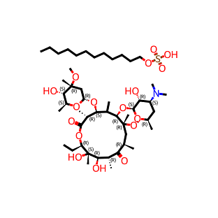 CCCCCCCCCCCCOS(=O)(=O)O.CC[C@H]1OC(=O)[C@H](C)[C@@H](O[C@H]2C[C@@](C)(OC)[C@@H](O)[C@H](C)O2)C(C)[C@@H](O[C@@H]2O[C@H](C)C[C@H](N(C)C)[C@H]2O)[C@](C)(OC)C[C@@H](C)C(=O)[C@H](C)[C@@H](O)[C@]1(C)O